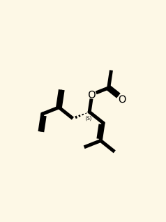 C=CC(=C)C[C@@H](C=C(C)C)OC(C)=O